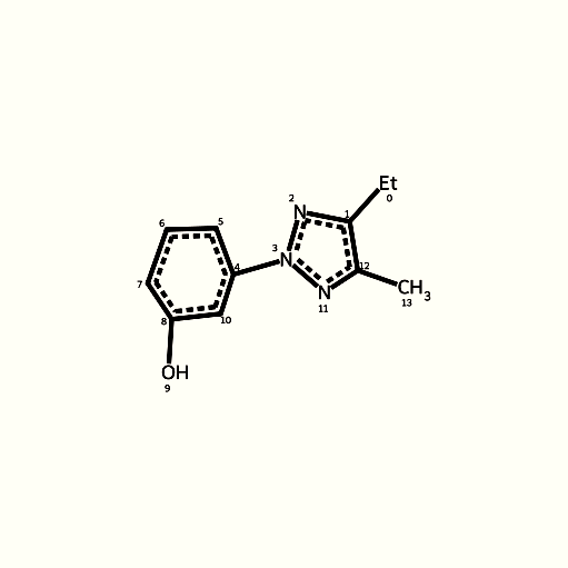 CCc1nn(-c2cccc(O)c2)nc1C